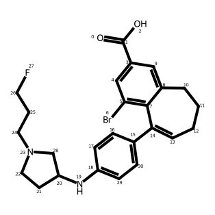 O=C(O)c1cc(Br)c2c(c1)CCCC=C2c1ccc(NC2CCN(CCCF)C2)cc1